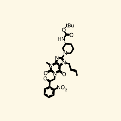 CC=CCn1c(N2CCC[C@@H](NC(=O)OC(C)(C)C)C2)nc2c1c(=O)n(CC(=O)c1ccccc1[N+](=O)[O-])c(=O)n2C